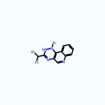 CCC(CC)C1=Nc2cnc3ccccc3c2N(C(C)=O)N1